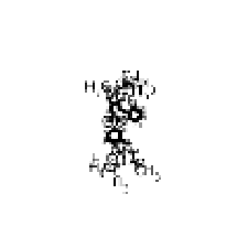 COCCN(Cc1cccc(S(=O)(=O)n2cc(CN(C)C(=O)OC(C)(C)C)cc2-c2ccccc2F)c1)C(=O)OC(C)(C)C